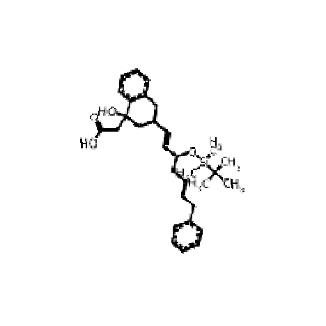 CC(C)(C)[Si](C)(C)OC(/C=C/C1Cc2ccccc2C(O)(CC(=O)O)C1)CCCCc1ccccc1